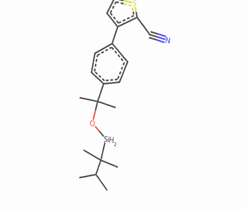 CC(C)C(C)(C)[SiH2]OC(C)(C)c1ccc(-c2ccsc2C#N)cc1